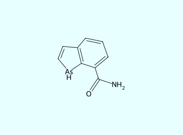 NC(=O)c1cccc2c1[AsH]C=C2